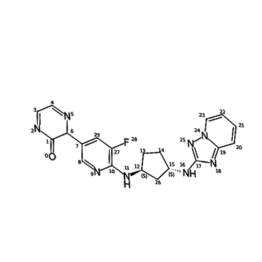 O=C1N=CC=NC1c1cnc(N[C@H]2CC[C@H](Nc3nc4ccccn4n3)C2)c(F)c1